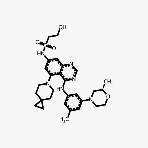 Cc1cc(Nc2ncnc3cc(NS(=O)(=O)CCO)cc(N4CCC5(CC4)CC5)c23)cc(N2CCO[C@H](C)C2)c1